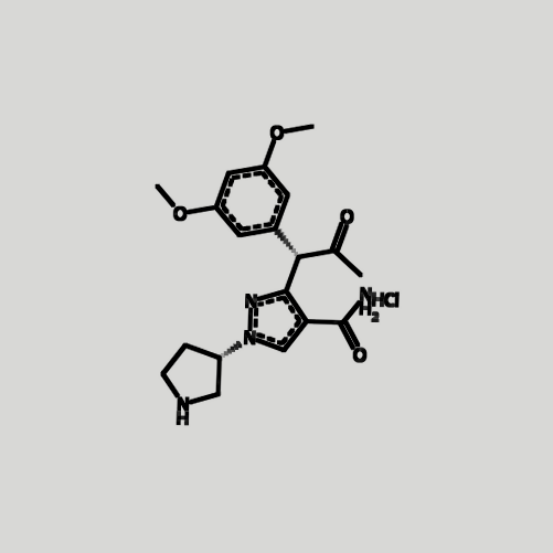 COc1cc(OC)cc([C@H](C(C)=O)c2nn([C@H]3CCNC3)cc2C(N)=O)c1.Cl